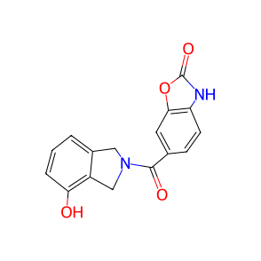 O=C(c1ccc2[nH]c(=O)oc2c1)N1Cc2cccc(O)c2C1